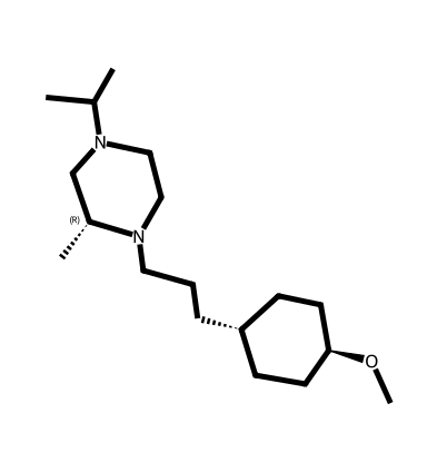 CO[C@H]1CC[C@H](CCCN2CCN(C(C)C)C[C@H]2C)CC1